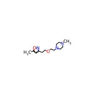 Cc1cc(CCOCCN2CCN(C)CC2)no1